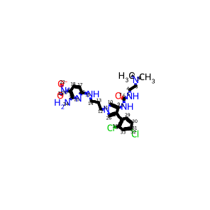 CN(C)CCNC(=O)Nc1cn(CCCNc2ccc([N+](=O)[O-])c(N)n2)cc1-c1ccc(Cl)cc1Cl